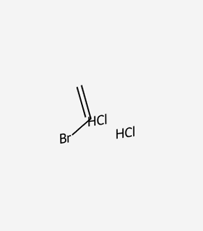 C=CBr.Cl.Cl